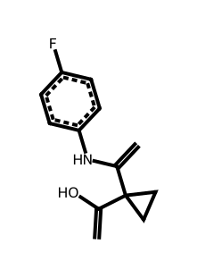 C=C(O)C1(C(=C)Nc2ccc(F)cc2)CC1